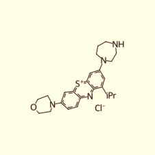 CC(C)c1cc(N2CCCNCC2)cc2[s+]c3cc(N4CCOCC4)ccc3nc12.[Cl-]